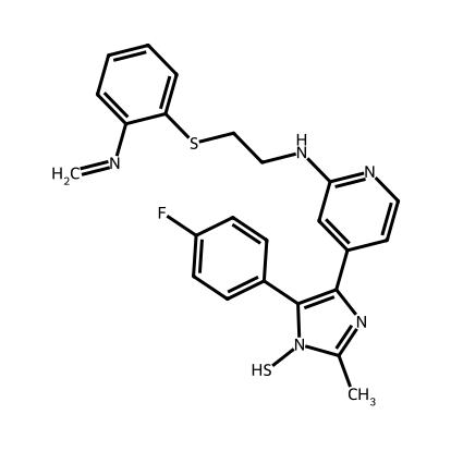 C=Nc1ccccc1SCCNc1cc(-c2nc(C)n(S)c2-c2ccc(F)cc2)ccn1